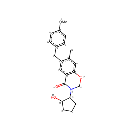 COc1ccc(Cc2cc3c(cc2C)OCN(C2CCCC2O)C3=O)cc1